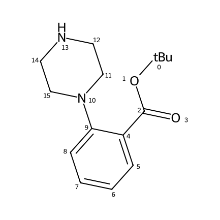 CC(C)(C)OC(=O)c1ccccc1N1CCNCC1